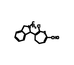 CN1Cc2ccccc2C1C1=C(Cl)SC(C=O)=CCC1